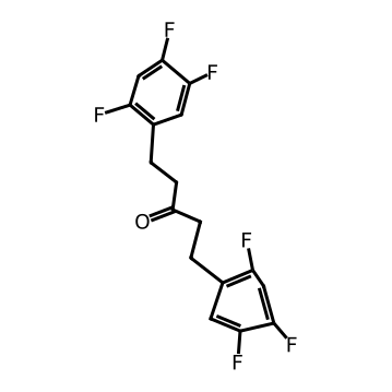 O=C(CCc1cc(F)c(F)cc1F)CCc1cc(F)c(F)cc1F